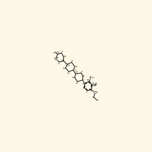 CCOc1ccc(C2CCC(C3CCC(C4CCC(C)OC4)CC3)CC2)c(F)c1F